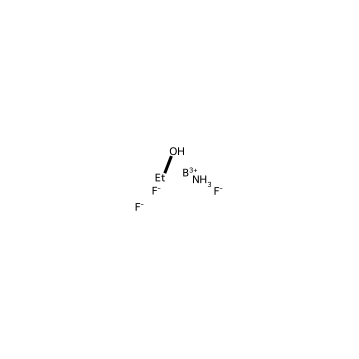 CCO.N.[B+3].[F-].[F-].[F-]